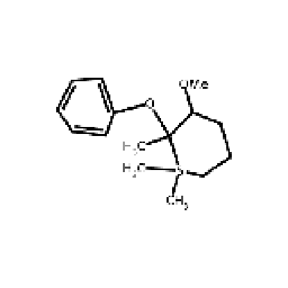 COC1CCC[Si](C)(C)C1(C)Oc1ccccc1